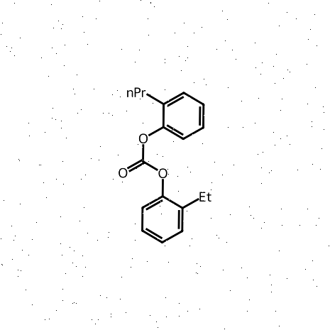 CCCc1ccccc1OC(=O)Oc1ccccc1CC